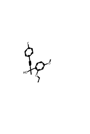 CCOc1cc(OC)ccc1C(C)(O)C#Cc1ccc(F)cc1